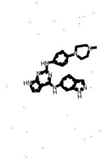 CN1CCN(c2ccc(Nc3nc(Nc4ccc5cn[nH]c5c4)c4cc[nH]c4n3)cc2)CC1